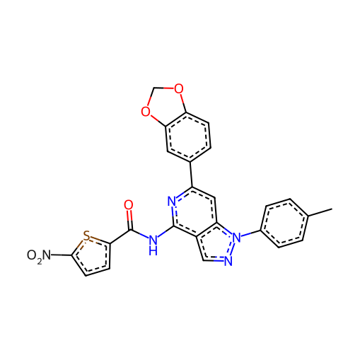 Cc1ccc(-n2ncc3c(NC(=O)c4ccc([N+](=O)[O-])s4)nc(-c4ccc5c(c4)OCO5)cc32)cc1